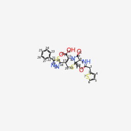 O=C(Cc1cccs1)NC1C(=O)N2C(C(=O)O)=C(c3nnc(-c4ccccc4)s3)CS[C@H]12